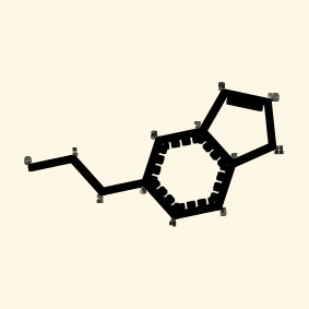 CCCc1ccc2c(c1)C=CC2